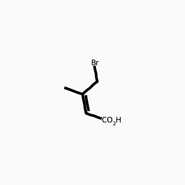 CC(=CC(=O)O)CBr